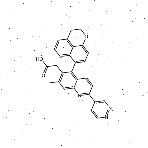 Cc1cc2nc(-c3ccnnc3)ccc2c(-c2ccc3c4c(ccnc24)CCO3)c1CC(=O)O